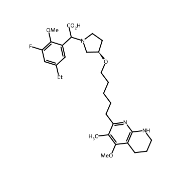 CCc1cc(F)c(OC)c(C(C(=O)O)N2CC[C@@H](OCCCCCc3nc4c(c(OC)c3C)CCCN4)C2)c1